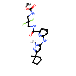 CC(C)(C)OC(=O)NCC(F)(F)CNC(=O)c1cccc(Nc2cc(C3(C)CCCC3)nn2C(C)(C)C)n1